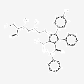 CC(C)c1c(C(=O)Nc2ccccc2)c(-c2ccccc2)c(-c2ccc(F)cc2)n1CC[C@@H](O)C[C@@H](O)C(C=O)CO